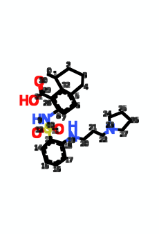 CC1CCCc2ccc(NS(=O)(=O)c3ccccc3NCCCN3CCCC3)c(C(=O)O)c21